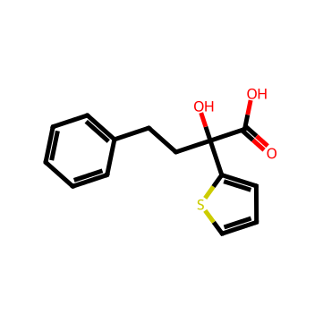 O=C(O)C(O)(CCc1ccccc1)c1cccs1